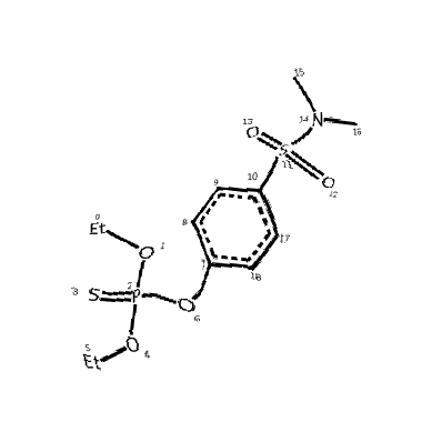 CCOP(=S)(OCC)Oc1ccc(S(=O)(=O)N(C)C)cc1